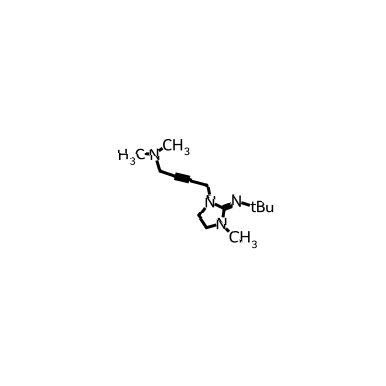 CN(C)CC#CCN1CCN(C)C1=NC(C)(C)C